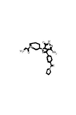 C=CC(=O)N1CCCC(n2nc(-c3ccc(C(=O)N4CCCC4)cc3)c3c(N)n[nH]c(=O)c32)C1